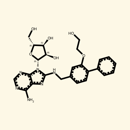 Nc1ncnc2c1nc(NCc1ccc(-c3ccccc3)c(OCCO)c1)n2[C@@H]1O[C@H](CO)[C@@H](O)[C@H]1O